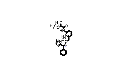 COC(C)C(=O)Nc1cccc(CO/N=C(/c2ccccc2)c2nnnn2C)n1